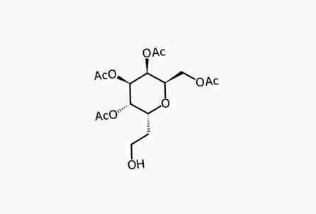 CC(=O)OC[C@H]1O[C@H](CCO)[C@H](OC(C)=O)[C@@H](OC(C)=O)[C@H]1OC(C)=O